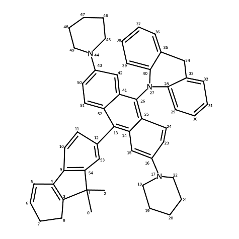 CC1(C)C2=C(C=CCC2)c2ccc(-c3c4cc(N5CCCCC5)ccc4c(N4c5ccccc5Cc5ccccc54)c4cc(N5CCCCC5)ccc34)cc21